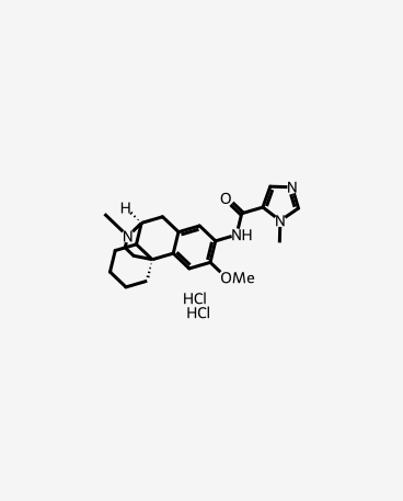 COc1cc2c(cc1NC(=O)c1cncn1C)C[C@H]1C3CCCC[C@@]23CCN1C.Cl.Cl